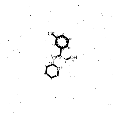 OC[C@H](O[C@H]1CCCCO1)c1cccc(Cl)c1